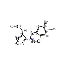 O=CNc1nonc1/C(=N/O)Nc1ccc(F)c(Br)c1